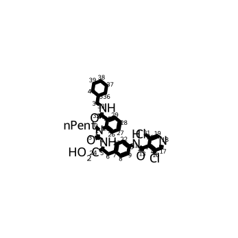 CCCCCN(C(=O)NC(Cc1ccc(NC(=O)c2c(Cl)cncc2Cl)cc1)C(=O)O)c1ccccc1C(=O)NCC1CCCCC1